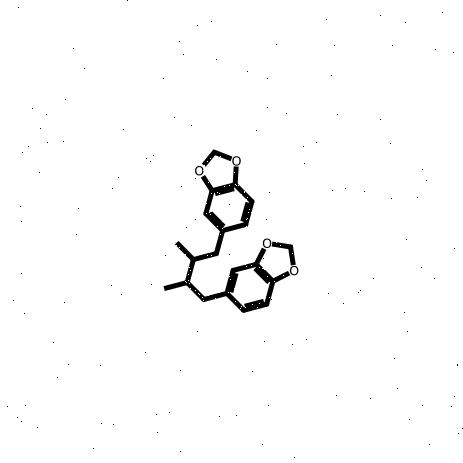 CC(Cc1ccc2c(c1)OCO2)C(C)Cc1ccc2c(c1)OCO2